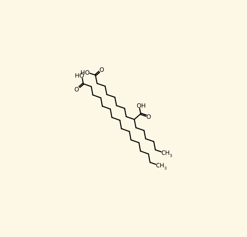 CCCCCCC(CCCCCCCC(=O)O)C(=O)O.CCCCCCCCCCCCCCCC(=O)O